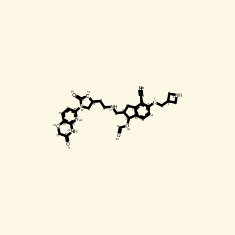 N#Cc1c(OCC2CNC2)ccc2c1CC(CNCCC1CN(c3ccc4c(n3)NC(=O)CO4)C(=O)O1)C2OC=O